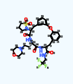 O=C(NCC(F)(F)F)[C@@H]1Cc2cccc(c2)Oc2cccc(c2)C[C@H](N2CCCS2(=O)=O)C(=O)N[C@@H](CCN2CCOCC2)C(=O)N1